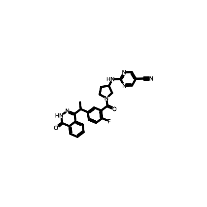 CC(c1ccc(F)c(C(=O)N2CCC(Nc3ncc(C#N)cn3)C2)c1)c1n[nH]c(=O)c2ccccc12